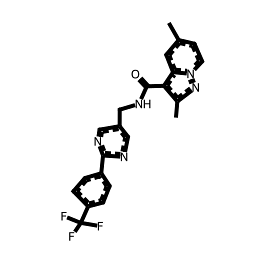 Cc1ccn2nc(C)c(C(=O)NCc3cnc(-c4ccc(C(F)(F)F)cc4)nc3)c2c1